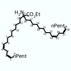 CCCCC/C=C\C/C=C\CCCCCCCCC(N)(CCCCCCCC/C=C\C/C=C\CCCCC)C(=O)OCC